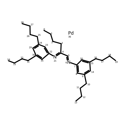 CCCCC(C=Nc1cc(CCCC)cc(CCCC)c1)=Nc1cc(CCCC)cc(CCCC)c1.[Pd]